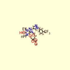 CCCN1C(=O)c2c(nc(-c3cnn(Cc4cccc(C(F)(F)F)c4)c3)n2COCc2oc(=O)oc2C)N(CC)C1O